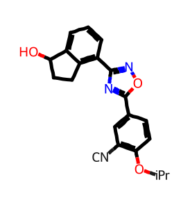 [C-]#[N+]c1cc(-c2nc(-c3cccc4c3CCC4O)no2)ccc1OC(C)C